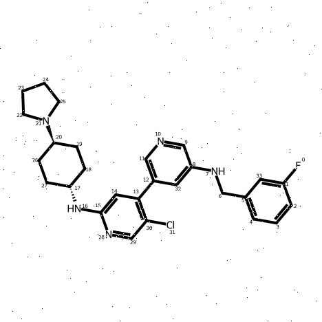 Fc1cccc(CNc2cncc(-c3cc(N[C@H]4CC[C@H](N5CCCC5)CC4)ncc3Cl)c2)c1